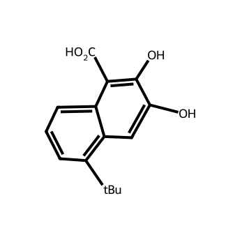 CC(C)(C)c1cccc2c(C(=O)O)c(O)c(O)cc12